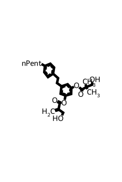 C=C(CO)C(=O)Oc1cc(CCc2ccc(CCCCC)cc2)cc(OC(=O)C(C)(C)CO)c1